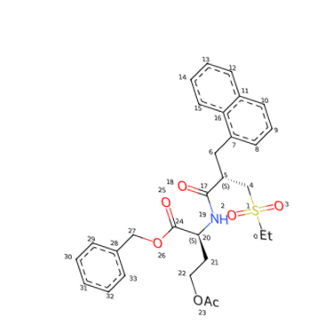 CCS(=O)(=O)C[C@@H](Cc1cccc2ccccc12)C(=O)N[C@@H](CCOC(C)=O)C(=O)OCc1ccccc1